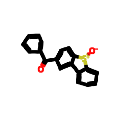 O=C(c1ccccc1)c1ccc2c(c1)c1ccccc1[s+]2[O-]